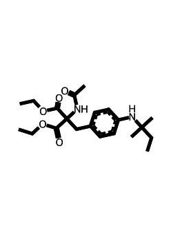 CCOC(=O)C(Cc1ccc(NC(C)(C)CC)cc1)(NC(C)=O)C(=O)OCC